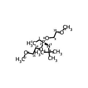 CCP(=NC(C)(C)C)(OCCOC)OCCOC